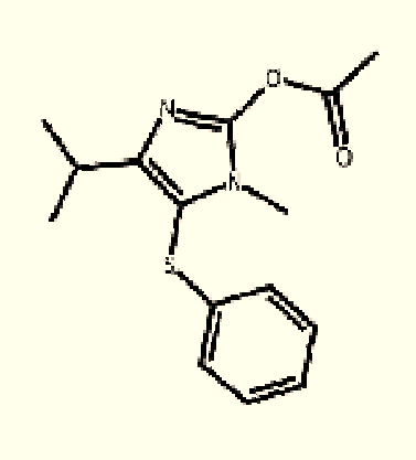 CC(=O)Oc1nc(C(C)C)c(Sc2ccccc2)n1C